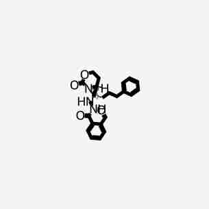 O=Cc1ccccc1C(=O)NN[C@]1(CCCc2ccccc2)[C@@H]2CCOC(=O)N21